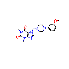 COc1cccc(N2CCN(Cn3cnc4c3c(=O)n(C)c(=O)n4C)CC2)c1